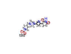 CC(C)(C)OC(=O)N1CCC(CN2CCN(c3ccc(C4CCC(=O)NC4=O)nc3)CC2)CC1